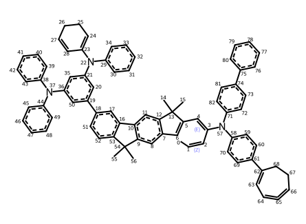 C/C=C\C(=C/C1=Cc2cc3c(cc2C1(C)C)-c1cc(-c2cc(N(C4=CCCC=C4)c4ccccc4)cc(N(c4ccccc4)c4ccccc4)c2)ccc1C3(C)C)N(c1ccc(C2=CC=C=CCC2)cc1)c1ccc(-c2ccccc2)cc1